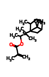 C=C(C)C(=O)OC(C)[Si](C)(C)C12CC(CCC1C)C2(C)C